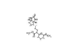 COC(=O)C(CCC[C@@H]1SC[C@@H]2NC(=O)N[C@@H]21)C1CCCC(OC)O1